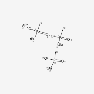 CC(C)(C)P(C)(=O)[O-].CC(C)(C)P(C)(=O)[O-].CC(C)(C)P(C)(=O)[O-].[Al+3]